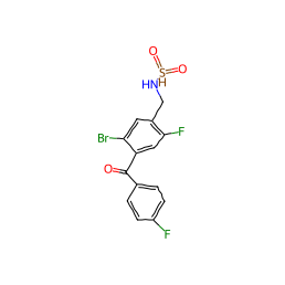 O=C(c1ccc(F)cc1)c1cc(F)c(CN[SH](=O)=O)cc1Br